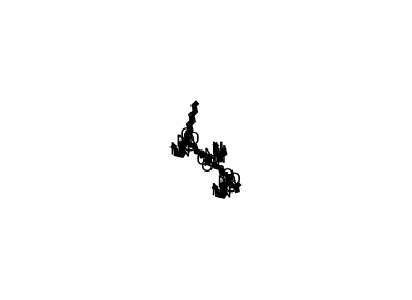 CCCCCCCOP(=O)(N=C1N(C)CCN1C)OCCCOP(=O)(N=C1N(C)CCN1C)OCCCOP(=O)(N=C1N(C)CCN1C)OC(C)C